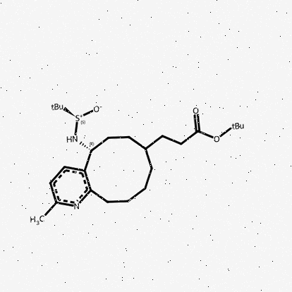 Cc1ccc2c(n1)CCCCC(CCC(=O)OC(C)(C)C)CC[C@H]2N[S@+]([O-])C(C)(C)C